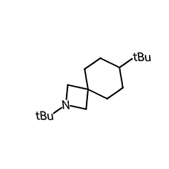 CC(C)(C)C1CCC2(CC1)CN(C(C)(C)C)C2